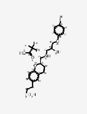 O=C(O)C(F)(F)F.O=C(O)CCc1ccc2c(c1)CC[C@H](CNC[C@H](O)COc1ccc(F)cc1)O2